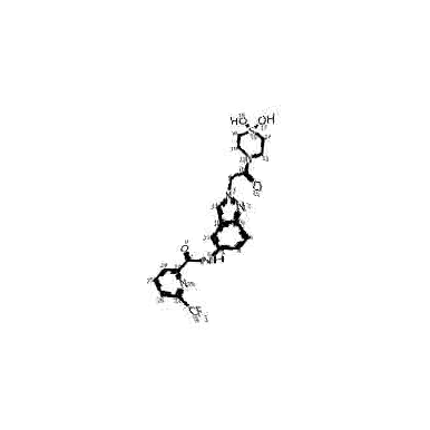 O=C(Nc1ccc2nn(CC(=O)N3CCS(O)(O)CC3)cc2c1)c1cccc(C(F)(F)F)n1